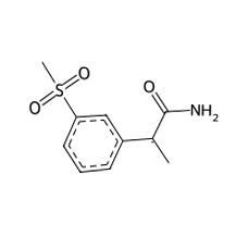 C[C](C(N)=O)c1cccc(S(C)(=O)=O)c1